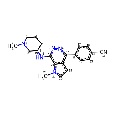 CN1CCC[C@@H](Nc2nnc(-c3ccc(C#N)cc3)c3ccn(C)c23)C1